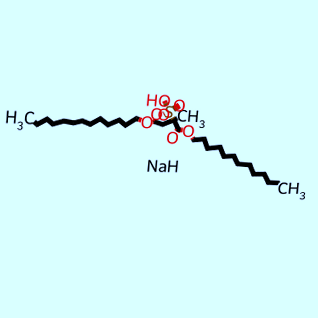 CCCCCCCCCCCCCOC(=O)CC(C)(C(=O)OCCCCCCCCCCCCC)S(=O)(=O)O.[NaH]